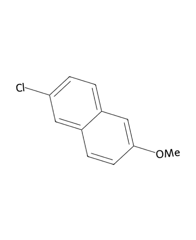 COc1ccc2cc(Cl)ccc2c1